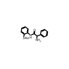 CSc1ccccc1NC(=O)C(N)c1ccccc1